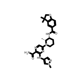 C[C@@H]1[C@H](NC(=O)c2ccc3c(c2)C(C)(C)CO3)CCCN1c1cnc(C(N)=O)c(Nc2cnn(C)c2)n1